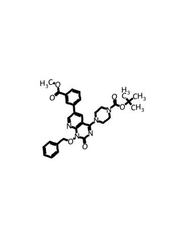 COC(=O)c1cccc(-c2cnc3c(c2)c(N2CCN(C(=O)OC(C)(C)C)CC2)nc(=O)n3OCc2ccccc2)c1